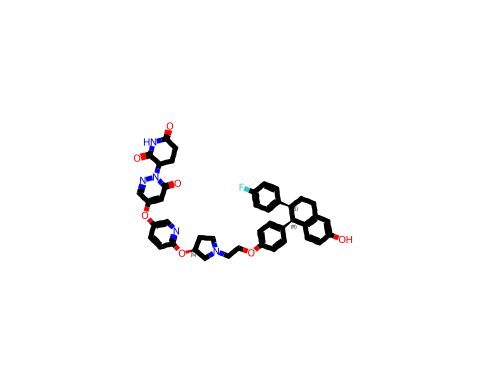 O=C1CCC(n2ncc(Oc3ccc(O[C@H]4CCN(CCOc5ccc([C@@H]6c7ccc(O)cc7CC[C@@H]6c6ccc(F)cc6)cc5)C4)nc3)cc2=O)C(=O)N1